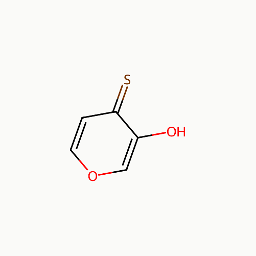 Oc1coccc1=S